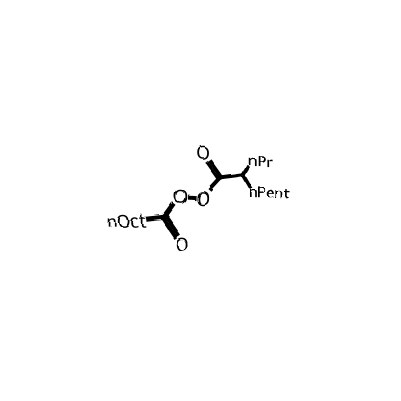 CCCCCCCCC(=O)OOC(=O)C(CCC)CCCCC